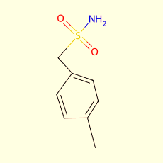 Cc1ccc(CS(N)(=O)=O)cc1